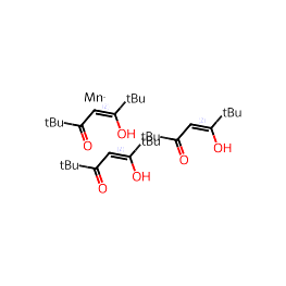 CC(C)(C)C(=O)/C=C(\O)C(C)(C)C.CC(C)(C)C(=O)/C=C(\O)C(C)(C)C.CC(C)(C)C(=O)/C=C(\O)C(C)(C)C.[Mn]